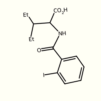 CCC(CC)C(NC(=O)c1ccccc1I)C(=O)O